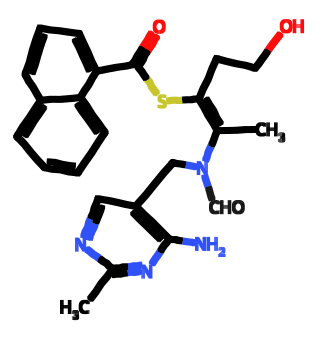 C/C(=C(\CCO)SC(=O)c1cccc2ccccc12)N(C=O)Cc1cnc(C)nc1N